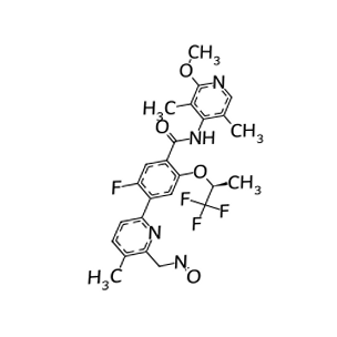 COc1ncc(C)c(NC(=O)c2cc(F)c(-c3ccc(C)c(CN=O)n3)cc2O[C@@H](C)C(F)(F)F)c1C